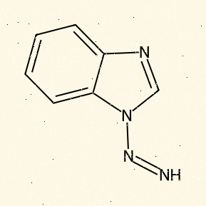 N=Nn1cnc2ccccc21